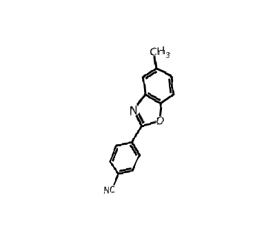 Cc1ccc2oc(-c3ccc(C#N)cc3)nc2c1